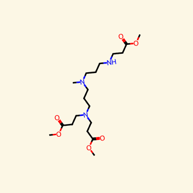 COC(=O)CCNCCCN(C)CCCN(CCC(=O)OC)CCC(=O)OC